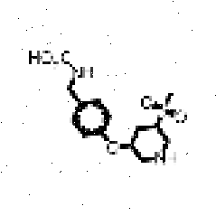 CS(=O)(=O)C1CNCC(Oc2ccc(CNC(=O)O)cc2)C1